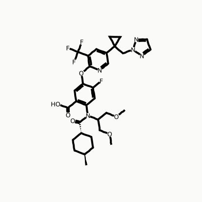 COCC(COC)N(c1cc(F)c(Oc2ncc(C3(Cn4nccn4)CC3)cc2C(F)(F)F)cc1C(=O)O)C(=O)[C@H]1CC[C@H](C)CC1